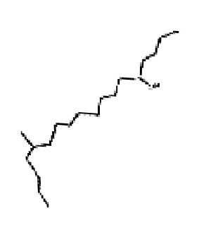 CCCCC(C)CCCCCCCCC(O)CCCC